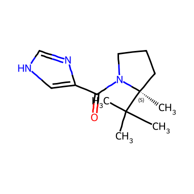 CC(C)(C)[C@]1(C)CCCN1C(=O)c1c[nH]cn1